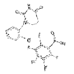 O=C(O)c1c(F)c(F)c(F)c(F)c1F.O=C1CCN(c2ccccc2Cl)C(=O)N1